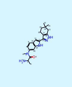 CC(N)C(=O)N(C)c1ccc2cc(-c3n[nH]c4c3CCC(C)(C)C4)[nH]c2c1